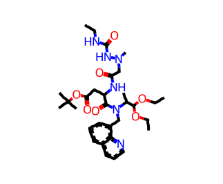 CCNC(=O)NN(C)CC(=O)NC(CC(=O)OC(C)(C)C)C(=O)N(Cc1cccc2cccnc12)C(C)C(OCC)OCC